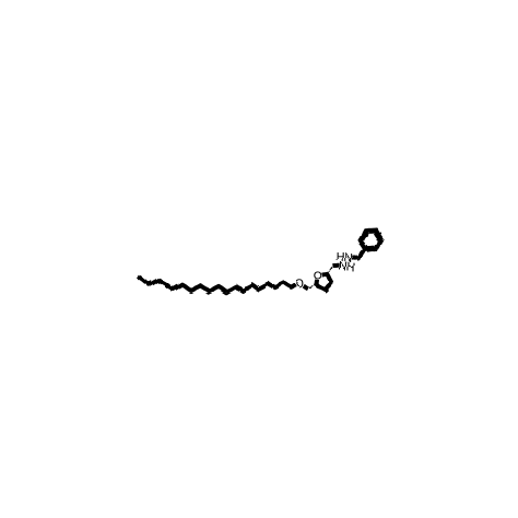 CCCCCCCCCCCCCCCCCCOC[C@H]1CC[C@@H](CNNCc2ccccc2)O1